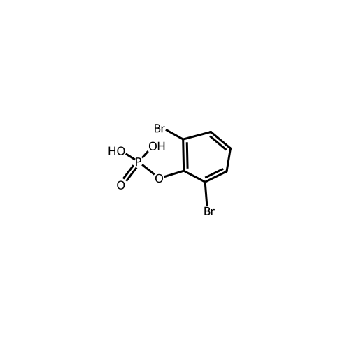 O=P(O)(O)Oc1c(Br)cccc1Br